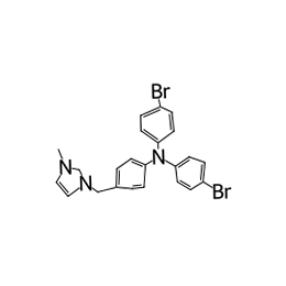 CN1C=CN(Cc2ccc(N(c3ccc(Br)cc3)c3ccc(Br)cc3)cc2)C1